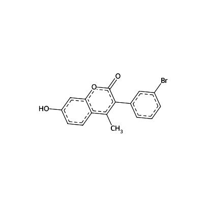 Cc1c(-c2cccc(Br)c2)c(=O)oc2cc(O)ccc12